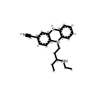 CCNC(CC)CCN1c2ccccc2Sc2cc(C#N)ccc21